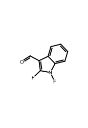 O=Cc1c(F)n(F)c2ccccc12